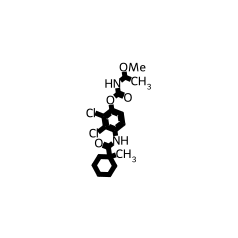 COC(C)NC(=O)Oc1ccc(NC(=O)C2(C)CCCCC2)c(Cl)c1Cl